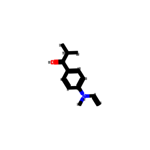 C=CN(C)c1ccc(C(=O)C(C)C)cc1